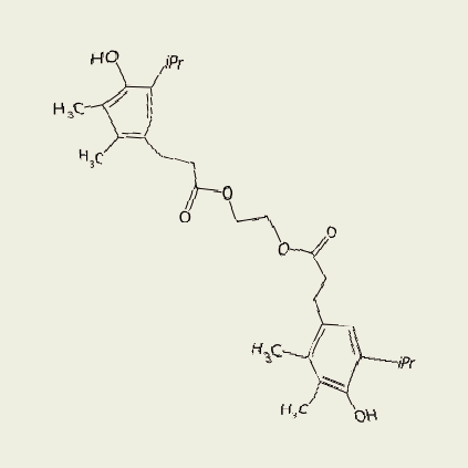 Cc1c(CCC(=O)OCCOC(=O)CCc2cc(C(C)C)c(O)c(C)c2C)cc(C(C)C)c(O)c1C